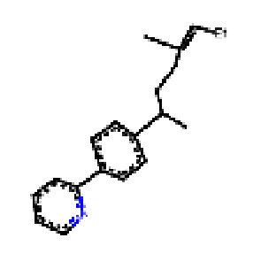 CC/C=C(/C)CCC(C)c1ccc(-c2ccccn2)cc1